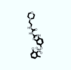 Cc1cccc(Cl)c1S(=O)(=O)Oc1ccc2[nH]c(NC(=O)NCCN3CCOCC3)nc2c1